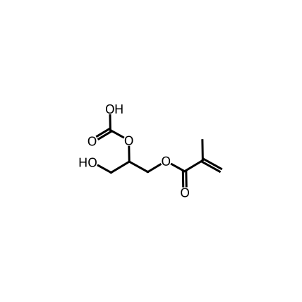 C=C(C)C(=O)OCC(CO)OC(=O)O